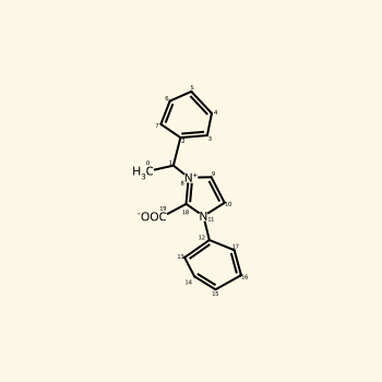 CC(c1ccccc1)[n+]1ccn(-c2ccccc2)c1C(=O)[O-]